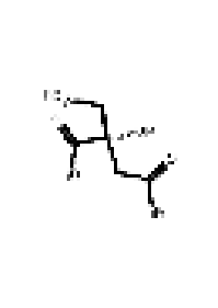 CC(C)C(=O)C[C@](O)(CC(=O)O)C(=O)C(C)C